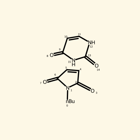 CCCCN1C(=O)C=CC1=O.O=c1cc[nH]c(=O)[nH]1